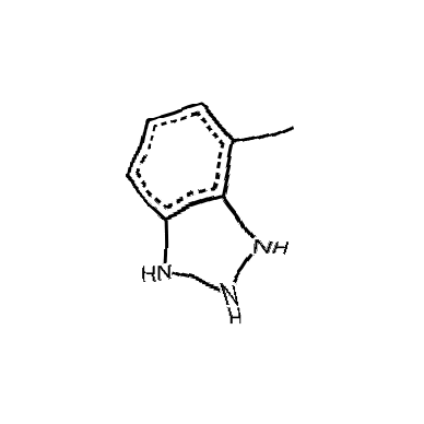 Cc1cccc2c1NNN2